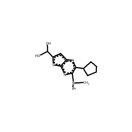 CC(C)N(C)c1nc2sc(C(O)O)cc2nc1C1CCCC1